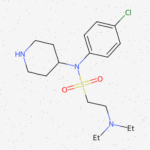 CCN(CC)CCS(=O)(=O)N(c1ccc(Cl)cc1)C1CCNCC1